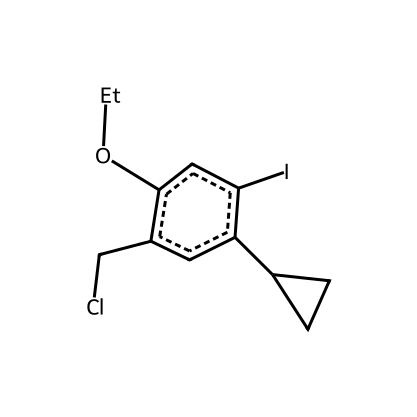 CCOc1cc(I)c(C2CC2)cc1CCl